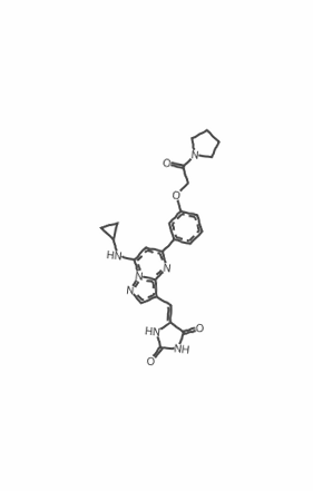 O=C1NC(=O)/C(=C/c2cnn3c(NC4CC4)cc(-c4cccc(OCC(=O)N5CCCC5)c4)nc23)N1